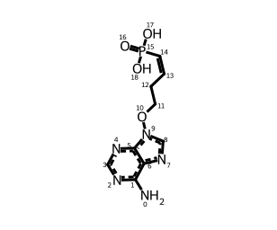 Nc1ncnc2c1ncn2OCC/C=C\P(=O)(O)O